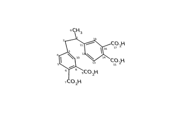 CC(Cc1ccc(C(=O)O)c(C(=O)O)c1)c1ccc(C(=O)O)c(C(=O)O)c1